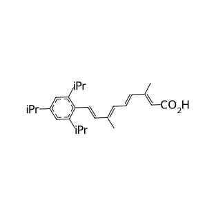 CC(C=Cc1c(C(C)C)cc(C(C)C)cc1C(C)C)=CC=CC(C)=CC(=O)O